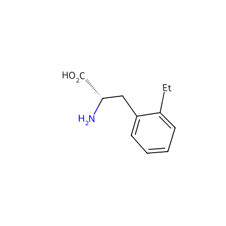 CCc1ccccc1C[C@H](N)C(=O)O